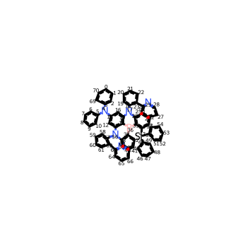 c1ccc(N(c2ccccc2)c2cc3c4c(c2)N(c2ccccc2-c2ccccn2)c2cccc5c2B4c2c(cccc2[Si]5(c2ccccc2)c2ccccc2)N3c2ccccc2-c2ccccn2)cc1